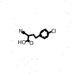 N#CC(CCc1ccc(Cl)cc1)C(=O)O